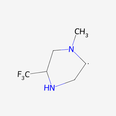 CN1[CH]CNC(C(F)(F)F)C1